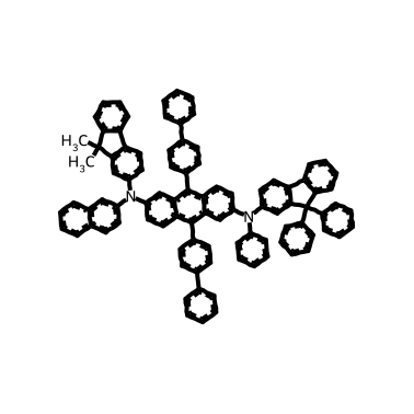 CC1(C)c2ccccc2-c2ccc(N(c3ccc4ccccc4c3)c3ccc4c(-c5ccc(-c6ccccc6)cc5)c5cc(N(c6ccccc6)c6ccc7c(c6)C(c6ccccc6)(c6ccccc6)c6ccccc6-7)ccc5c(-c5ccc(-c6ccccc6)cc5)c4c3)cc21